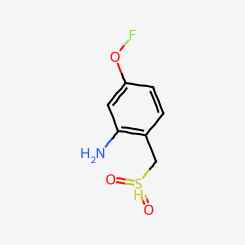 Nc1cc(OF)ccc1C[SH](=O)=O